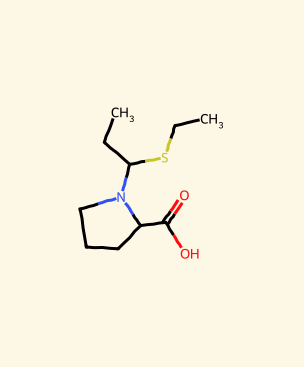 CCSC(CC)N1CCCC1C(=O)O